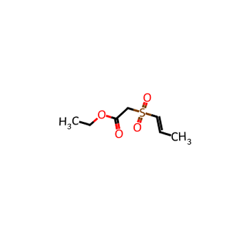 CC=CS(=O)(=O)CC(=O)OCC